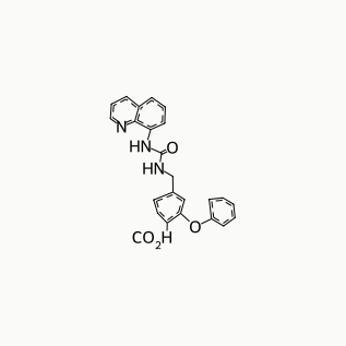 O=C(NCc1ccc(C(=O)O)c(Oc2ccccc2)c1)Nc1cccc2cccnc12